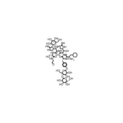 N=C1NCC(C(O)[C@H](NC(=O)[C@@H](Cc2ccc(O[C@H]3O[C@H](CO)[C@@H](O[C@H]4O[C@H](CO)[C@@H](O)[C@H](O)[C@@H]4O)[C@H](O)[C@@H]3O)cc2)NC(=O)[C@@H](N)CC2CCCCC2)C(=O)N[C@@H](C(=O)N[C@@H](CO)C(=O)NC[C]=O)C(O)C2CNC(=N)N2[C@H]2O[C@H](CO)[C@@H](O)[C@H](O)[C@@H]2O)N1